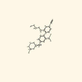 C#Cc1ccc(-c2nnc(N[C@@H]3CCCN(C)C3)cc2C(C)C)c(OCOCC)c1